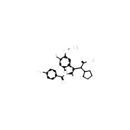 COc1cc2c(C(C(=O)O)C3CCCC3)c(C)n(C(=O)c3ccc(Br)cc3)c2cc1Cl